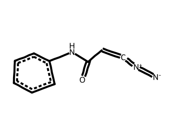 [N-]=[N+]=C=CC(=O)Nc1ccccc1